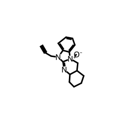 C#CCN1C2=NC3CCCCC3C[N+]2([O-])c2ccccc21